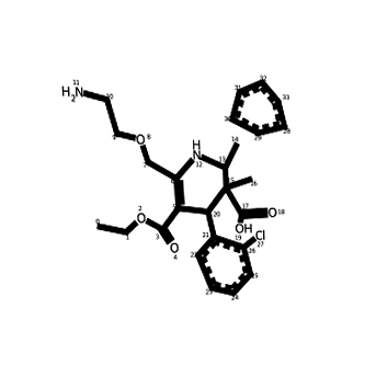 CCOC(=O)C1=C(COCCN)NC(C)C(C)(C(=O)O)C1c1ccccc1Cl.c1ccccc1